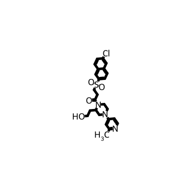 Cc1cc(N2CCN(C(=O)CCS(=O)(=O)c3ccc4cc(Cl)ccc4c3)C(CCO)C2)ccn1